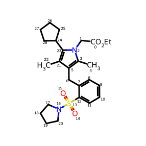 CCOC(=O)Cn1c(C)c(Cc2ccccc2S(=O)(=O)N2CCCC2)c(C)c1C1CCCC1